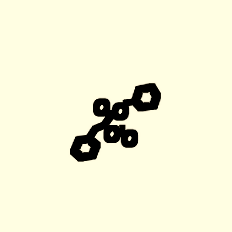 O=[C]OC(Cc1ccccc1)C(=O)OCc1ccccc1